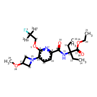 [2H]C([2H])(F)COc1nc(C(=O)NC(CC)(CC)C(=O)OCC)ccc1N1CC(OC)C1